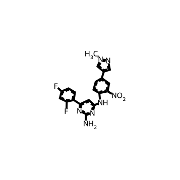 Cn1cc(-c2ccc(Nc3cc(-c4ccc(F)cc4F)nc(N)n3)c([N+](=O)[O-])c2)cn1